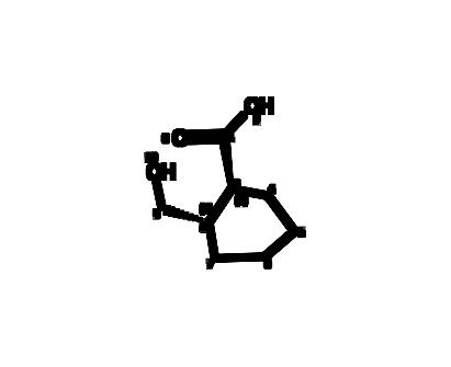 O=C(O)[C@H]1CCCC[C@@H]1CO